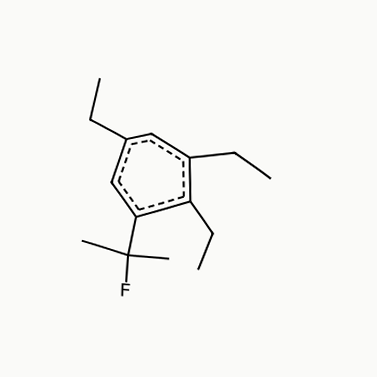 CCc1cc(CC)c(CC)c(C(C)(C)F)c1